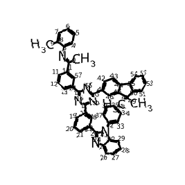 C/C(=N\c1ccccc1C)c1cccc(-c2nc(-c3cccc(-c4nc5ccccc5n4-c4ccccc4)c3)nc(-c3ccc4c(c3)C(C)(C)c3ccccc3-4)n2)c1